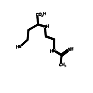 CC(=N)NCCNC(CCS)C(=O)O